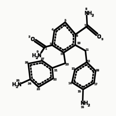 NC(=O)c1ccc(C(N)=O)c(Cc2ccc(N)cc2)c1Cc1ccc(N)cc1